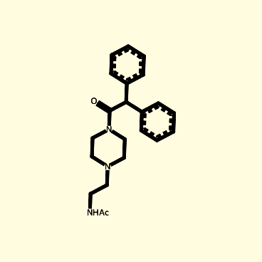 CC(=O)NCCN1CCN(C(=O)C(c2ccccc2)c2ccccc2)CC1